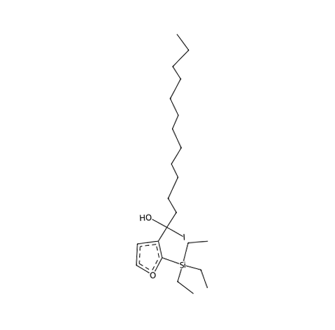 CCCCCCCCCCCCC(O)(I)c1ccoc1[Si](CC)(CC)CC